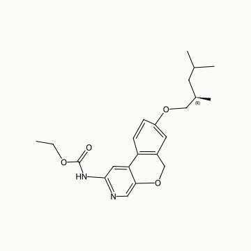 CCOC(=O)Nc1cc2c(cn1)OCc1cc(OC[C@H](C)CC(C)C)ccc1-2